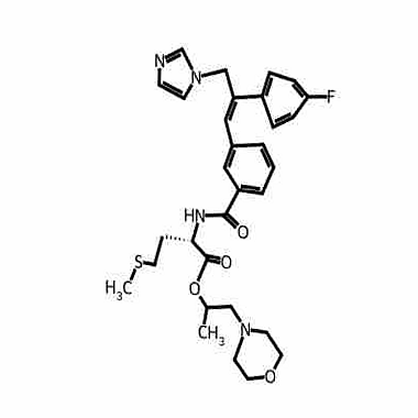 CSCC[C@H](NC(=O)c1cccc(/C=C(/Cn2ccnc2)c2ccc(F)cc2)c1)C(=O)OC(C)CN1CCOCC1